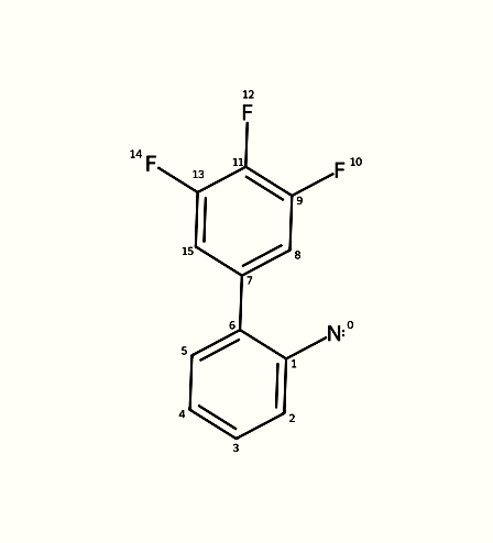 [N]c1ccccc1-c1cc(F)c(F)c(F)c1